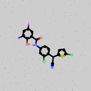 N#CC(c1ccc(Cl)s1)c1ccc(NC(=O)c2cc(I)cc(I)c2O)cc1Cl